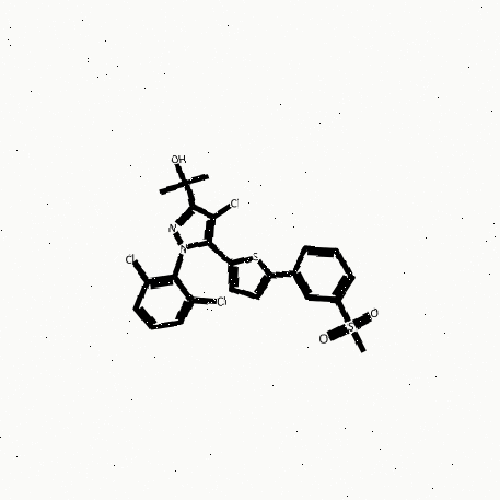 CC(C)(O)c1nn(-c2c(Cl)cccc2Cl)c(-c2ccc(-c3cccc(S(C)(=O)=O)c3)s2)c1Cl